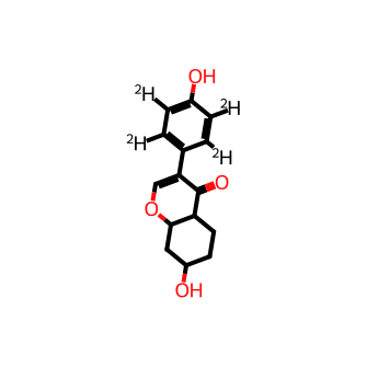 [2H]c1c([2H])c(C2=COC3CC(O)CCC3C2=O)c([2H])c([2H])c1O